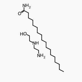 CCCCCCCCCCCCCCCCCC(N)=O.NCCNCCO